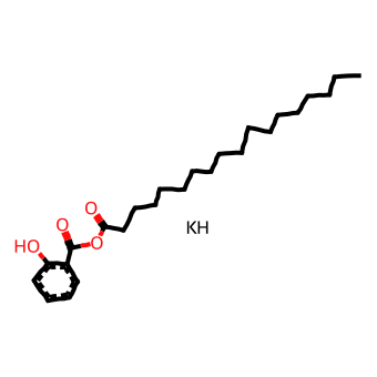 CCCCCCCCCCCCCCCCCC(=O)OC(=O)c1ccccc1O.[KH]